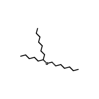 CCCCCCCOC(CCCCC)CCCCCCC